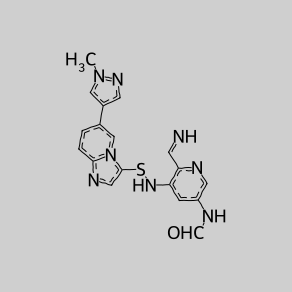 Cn1cc(-c2ccc3ncc(SNc4cc(NC=O)cnc4C=N)n3c2)cn1